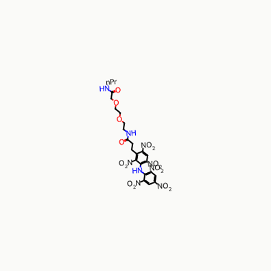 CCCNC(=O)COCCOCCNC(=O)CCc1c([N+](=O)[O-])cc([N+](=O)[O-])c(Nc2c([N+](=O)[O-])cc([N+](=O)[O-])cc2[N+](=O)[O-])c1[N+](=O)[O-]